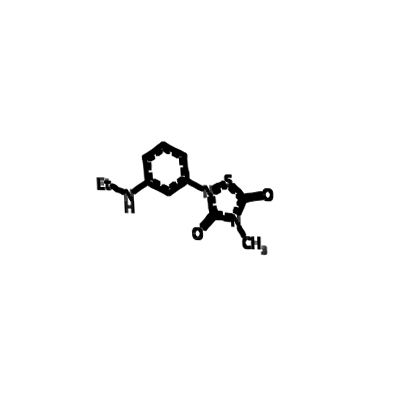 CCNc1cccc(-n2sc(=O)n(C)c2=O)c1